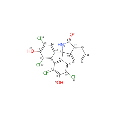 O=C1NC(c2cc(Cl)c(O)c(Cl)c2)(c2cc(Cl)c(O)c(Cl)c2)c2ccccc21